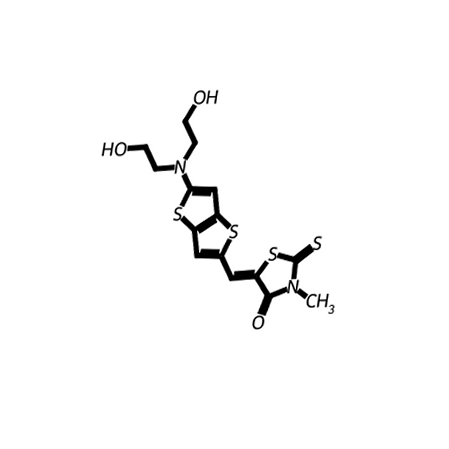 CN1C(=O)/C(=C/c2cc3sc(N(CCO)CCO)cc3s2)SC1=S